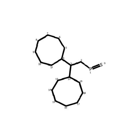 S=PCC(C1CCCCCCC1)C1CCCCCCC1